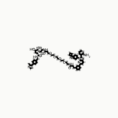 Cc1ncsc1-c1ccc(CNC(=O)[C@@H]2C[C@@H](O)CN2C(=O)C(NC(=O)CCOCCOCCOCCOCCNC(=O)CCc2cccc(-c3ccc4nc(-c5cccnc5N)n(-c5ccc(C6(N)CCC6)cc5)c4n3)c2)C(C)(C)C)cc1